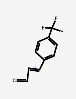 O=C/C=C/c1ccc(C(F)(F)F)cc1